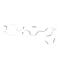 Cc1ccc2c(-c3ccc(S(=O)(=O)N4CCNC(=O)CC4)cc3)c[nH]c2c1